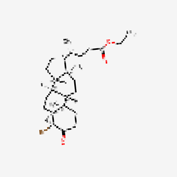 CCOC(=O)CC[C@@H](C)[C@H]1CC[C@H]2[C@@H]3CC[C@@H]4[C@H](Br)C(=O)CC[C@]4(C)[C@H]3CC[C@]12C